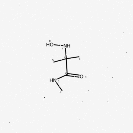 CNC(=O)C(C)(C)NO